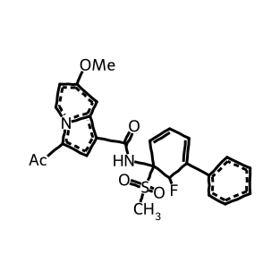 COc1ccn2c(C(C)=O)cc(C(=O)NC3(S(C)(=O)=O)C=CC=C(c4ccccc4)C3F)c2c1